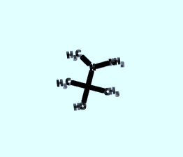 CN(N)C(C)(C)O